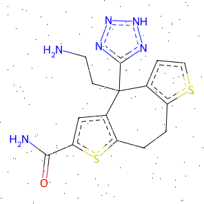 NCCC1(c2nn[nH]n2)c2ccsc2CCc2sc(C(N)=O)cc21